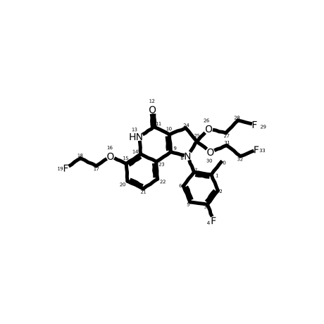 Cc1cc(F)ccc1N1c2c(c(=O)[nH]c3c(OCCF)cccc23)CC1(OCCF)OCCF